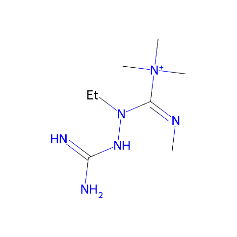 CCN(NC(=N)N)/C(=N\C)[N+](C)(C)C